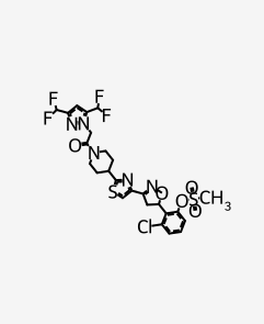 CS(=O)(=O)Oc1cccc(Cl)c1C1CC(c2csc(C3CCN(C(=O)Cn4nc(C(F)F)cc4C(F)F)CC3)n2)=NO1